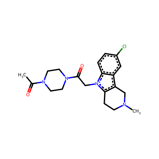 CC(=O)N1CCN(C(=O)Cn2c3c(c4cc(Cl)ccc42)CN(C)CC3)CC1